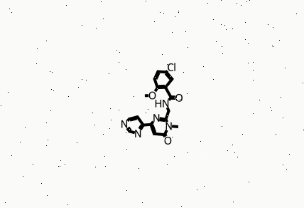 COc1ccc(Cl)cc1C(=O)NCc1nc(-c2ccncn2)cc(=O)n1C